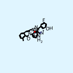 C=Nc1c(/C(N)=N\C)c(-c2cc(O)cc(F)c2)nn1Cc1cc2cccc(C)c2c(=O)n1-c1ccccc1O